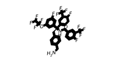 NCc1ccc(C[C@](NC(=O)c2ccc(F)c(C(F)(F)F)c2)(C2=CCC(F)C(C(F)(F)F)=C2)c2cc(F)cc(OC(F)(F)C(F)F)c2)cc1